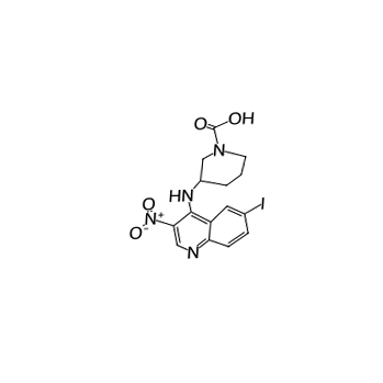 O=C(O)N1CCCC(Nc2c([N+](=O)[O-])cnc3ccc(I)cc23)C1